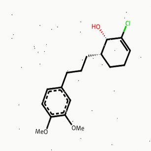 COc1ccc(CCC[C@H]2CCC=C(Cl)[C@H]2O)cc1OC